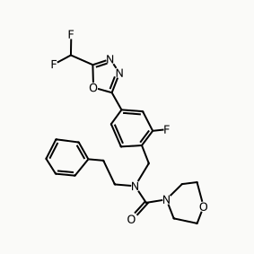 O=C(N1CCOCC1)N(CCc1ccccc1)Cc1ccc(-c2nnc(C(F)F)o2)cc1F